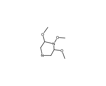 COC1C[N]CC(OC)N1OC